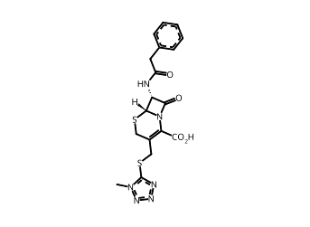 Cn1nnnc1SCC1=C(C(=O)O)N2C(=O)[C@@H](NC(=O)Cc3ccccc3)[C@H]2SC1